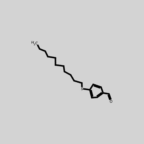 CCCCCCCCCCCSc1ccc(C=O)cc1